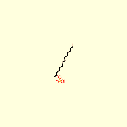 CCCCCCCCCCCCCC(C)OS(=O)O